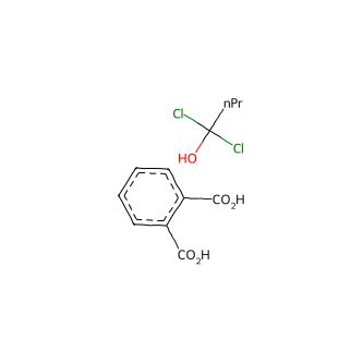 CCCC(O)(Cl)Cl.O=C(O)c1ccccc1C(=O)O